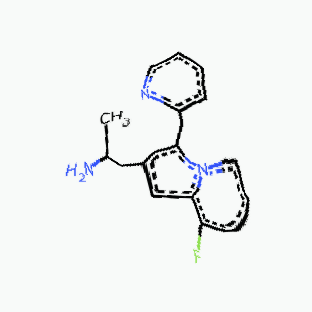 CC(N)c1cc2c(F)cccn2c1-c1ccccn1